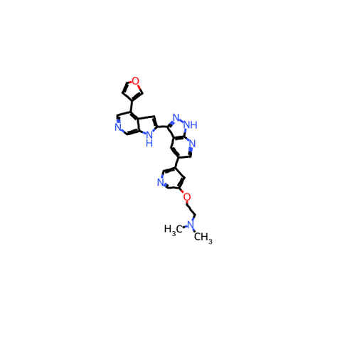 CN(C)CCOc1cncc(-c2cnc3[nH]nc(-c4cc5c(-c6ccoc6)cncc5[nH]4)c3c2)c1